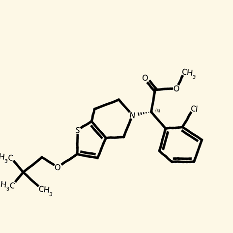 COC(=O)[C@H](c1ccccc1Cl)N1CCc2sc(OCC(C)(C)C)cc2C1